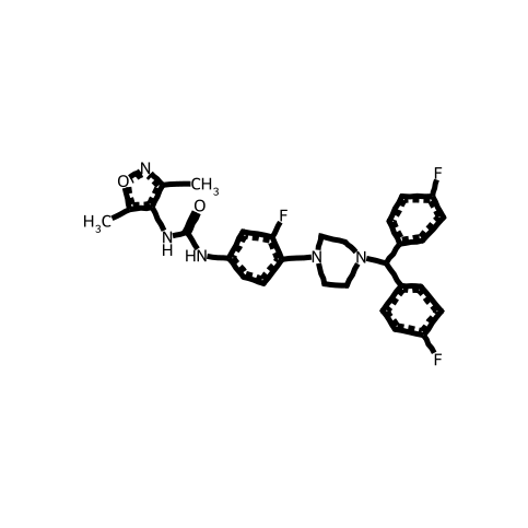 Cc1noc(C)c1NC(=O)Nc1ccc(N2CCN(C(c3ccc(F)cc3)c3ccc(F)cc3)CC2)c(F)c1